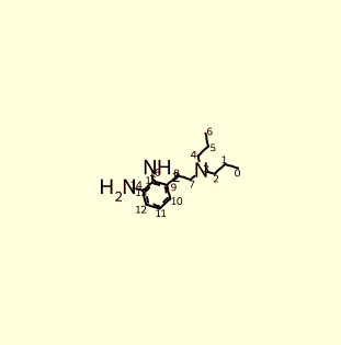 CCCN(CCC)CCc1cccc(N)c1N